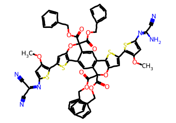 COc1cc(N=C(C#N)C#N)sc1-c1cc2c(s1)-c1cc3c(cc1C(C(=O)OCc1ccccc1)(C(=O)OCc1ccccc1)O2)-c1sc(-c2sc(/N=C(\N)C#N)cc2OC)cc1OC3(C(=O)OCc1ccccc1)C(=O)OCc1ccccc1